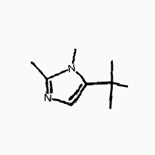 Cc1ncc(C(C)(C)C)n1C